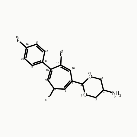 NC1COC(C2=CC(F)C=C(c3ccc(F)cc3)C(F)=C2)OC1